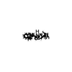 Cc1nc(C)c(-c2csc(NC(=O)C3CN(Cc4ccccc4C(F)(F)F)C3)n2)s1